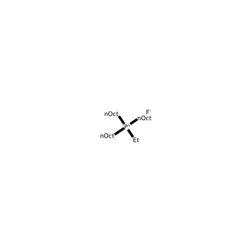 CCCCCCCC[P+](CC)(CCCCCCCC)CCCCCCCC.[F-]